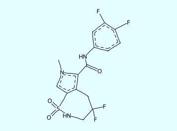 Cn1cc2c(c1C(=O)Nc1ccc(F)c(F)c1)CC(F)(F)CNS2(=O)=O